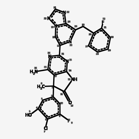 CC1(c2cc(O)c(Cl)c(F)c2)C(=O)Nc2nc(-c3cn4ncnc4c(Cc4ccccc4F)n3)nc(N)c21